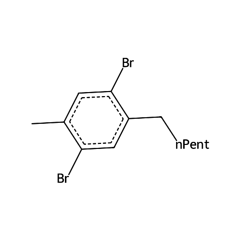 CCCCCCc1cc(Br)c(C)cc1Br